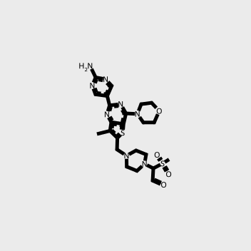 Cc1c(CN2CCN(C(C=O)S(C)(=O)=O)CC2)sc2c(N3CCOCC3)nc(-c3cnc(N)nc3)nc12